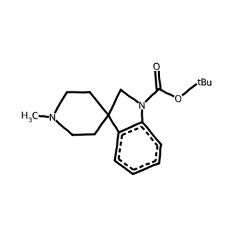 CN1CCC2(CC1)CN(C(=O)OC(C)(C)C)c1ccccc12